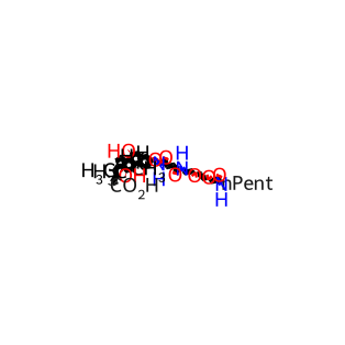 CCCCCNC(=O)COCCOCCNC(=O)CCC(=O)NOC1CC[C@]2(C)C3C[C@H](O)[C@@]4(C)C(CC[C@@H]4[C@H](C)CCC(=O)O)[C@@H]3[C@H](O)C[C@@H]2C1